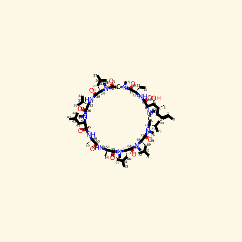 C/C=C/C[C@@H](C)[C@@H](O)[C@H]1C(=O)N[C@@H](CC)C(=O)N(C)CC(=O)N(C)[C@@H](CC(C)C)C(=O)N[C@@H](C(C)C)C(=O)N(C)C(CC(C)C)C(=O)N[C@@H](C)C(=O)N[C@H](C)C(=O)N(C)[C@@H](CC(C)C)C(=O)N(C)[C@@H](CC(C)C)C(=O)N(C)[C@@H](C(C)C)CN1C